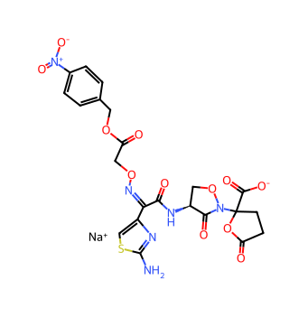 Nc1nc(C(=NOCC(=O)OCc2ccc([N+](=O)[O-])cc2)C(=O)N[C@H]2CON(C3(C(=O)[O-])CCC(=O)O3)C2=O)cs1.[Na+]